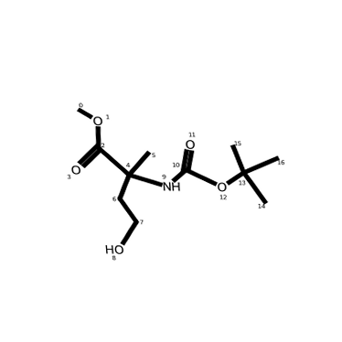 COC(=O)C(C)(CCO)NC(=O)OC(C)(C)C